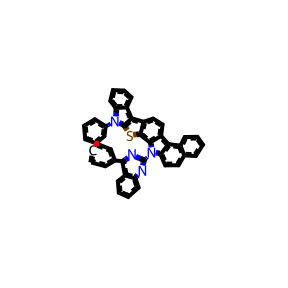 c1ccc(-c2nc(-n3c4ccc5ccccc5c4c4ccc5c(sc6c5c5ccccc5n6-c5ccccc5)c43)nc3ccccc23)cc1